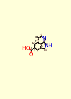 O=C(O)c1cc2c3c(nccc3c1)NC2